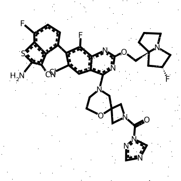 N#Cc1c(N)sc2c(F)ccc(-c3c(Cl)cc4c(N5CCOC6(CN(C(=O)n7cncn7)C6)C5)nc(OC[C@@]56CCCN5C[C@H](F)C6)nc4c3F)c12